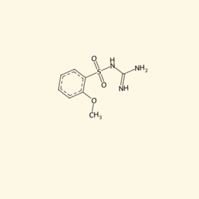 COc1ccccc1S(=O)(=O)NC(=N)N